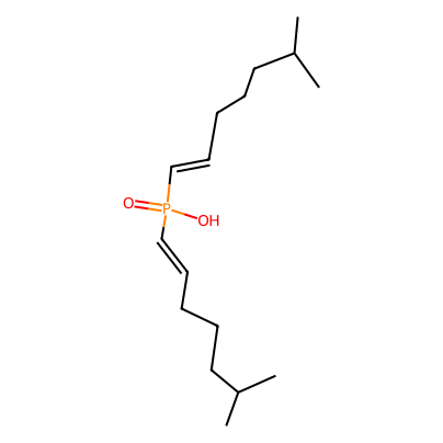 CC(C)CCCC=CP(=O)(O)C=CCCCC(C)C